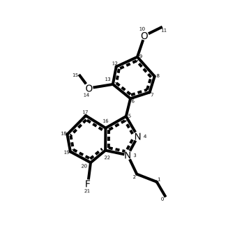 CCCn1nc(-c2ccc(OC)cc2OC)c2cccc(F)c21